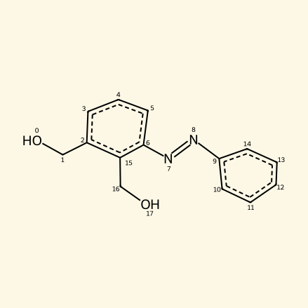 OCc1cccc(N=Nc2ccccc2)c1CO